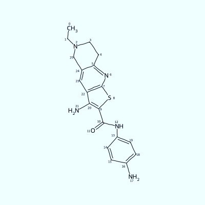 CCN1CCc2nc3sc(C(=O)Nc4ccc(N)cc4)c(N)c3cc2C1